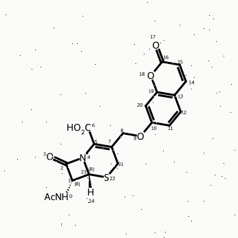 CC(=O)N[C@@H]1C(=O)N2C(C(=O)O)=C(COc3ccc4ccc(=O)oc4c3)CS[C@H]12